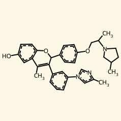 CC1=C(c2cccc(-n3cnc(C)c3)c2)C(c2ccc(OCC(C)N3CCC(C)C3)cc2)Oc2ccc(O)cc21